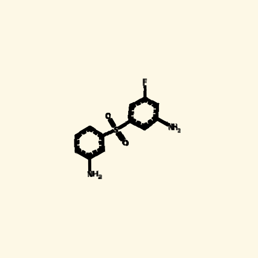 Nc1cccc(S(=O)(=O)c2cc(N)cc(F)c2)c1